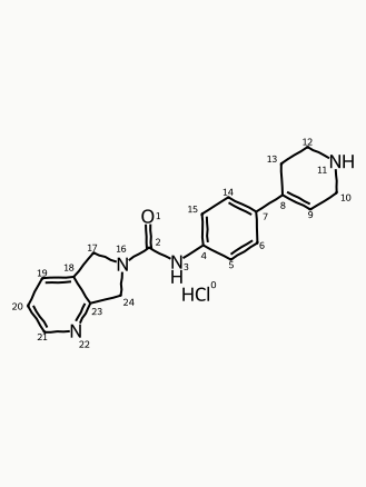 Cl.O=C(Nc1ccc(C2=CCNCC2)cc1)N1Cc2cccnc2C1